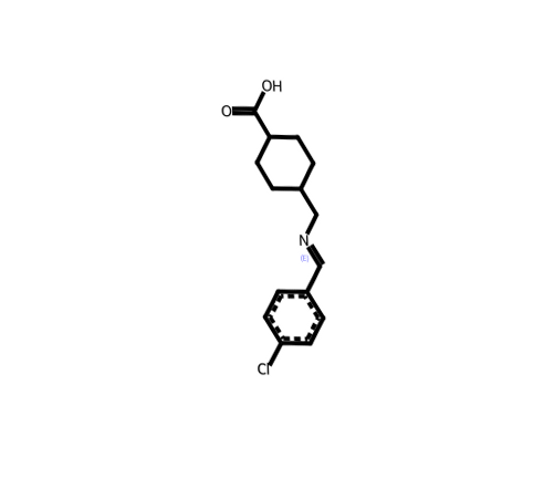 O=C(O)C1CCC(C/N=C/c2ccc(Cl)cc2)CC1